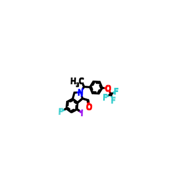 CC(c1ccc(OC(F)(F)F)cc1)N1Cc2cc(F)cc(I)c2C1C=O